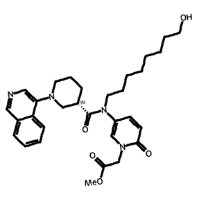 COC(=O)Cn1cc(N(CCCCCCCCO)C(=O)[C@H]2CCCN(c3cncc4ccccc34)C2)ccc1=O